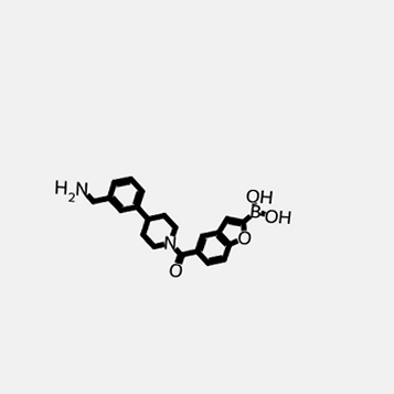 NCc1cccc(C2CCN(C(=O)c3ccc4oc(B(O)O)cc4c3)CC2)c1